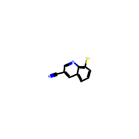 N#Cc1cnc2c(S)cccc2c1